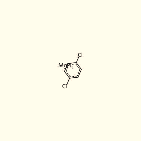 Clc1ccc(Cl)cc1.[MgH2]